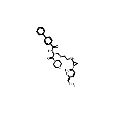 C=C(/C=C\C(F)=C/C)[C@@H]1CC1NCCSC[C@H](NC(=O)c1ccc(-c2ccccc2)cc1)C(=O)N1CCOCC1